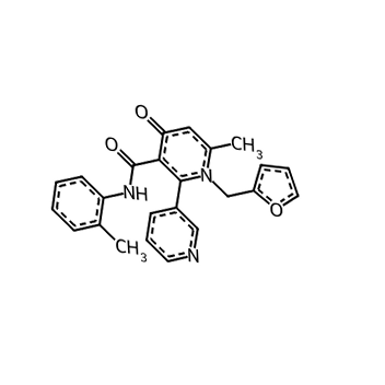 Cc1ccccc1NC(=O)c1c(-c2cccnc2)n(Cc2ccco2)c(C)cc1=O